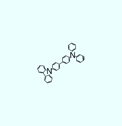 c1ccc(N(c2ccccc2)c2ccc(-c3ccc(-n4c5ccccc5c5ccccc54)cc3)cc2)cc#1